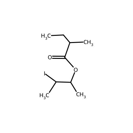 CCC(C)C(=O)OC(C)C(C)I